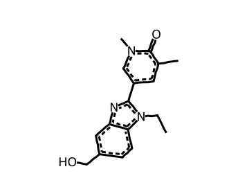 CCn1c(-c2cc(C)c(=O)n(C)c2)nc2cc(CO)ccc21